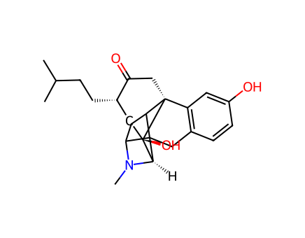 CC(C)CC[C@H]1C[C@@]2(O)[C@@H]3N(C)C4CC5C43Cc3ccc(O)cc3[C@]52CC1=O